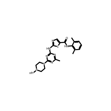 CCCN1CCN(c2nc(C)nc(Nc3ncc(C(=O)Nc4c(C)cccc4C)s3)n2)CC1